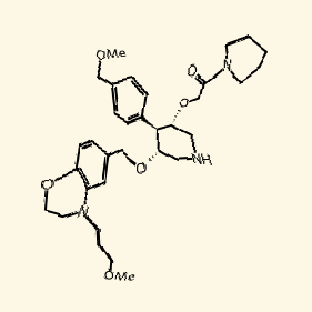 COCCCN1CCOc2ccc(CO[C@H]3CNC[C@@H](OCC(=O)N4CCCCC4)[C@@H]3c3ccc(COC)cc3)cc21